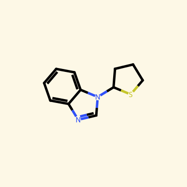 c1ccc2c(c1)ncn2C1CCCS1